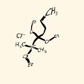 C=CCC(OCC)(OCC)[N+](C)(C)OCC.[Cl-]